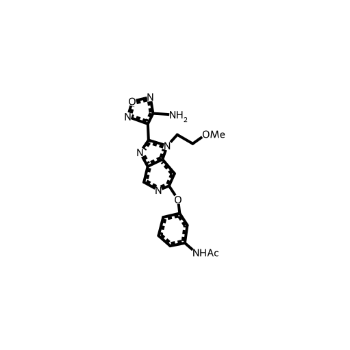 COCCn1c(-c2nonc2N)nc2cnc(Oc3cccc(NC(C)=O)c3)cc21